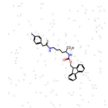 O=C(N[C@@H](CCCCNC(=S)Cc1ccc(I)cc1)C(=O)O)OCC1c2ccccc2-c2ccccc21